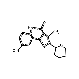 Cc1c2c(=O)[nH]c3ccc([N+](=O)[O-])cc3c2nn1C1CCCCO1